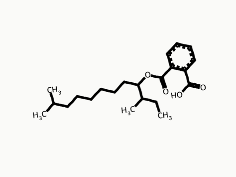 CCC(C)C(CCCCCCC(C)C)OC(=O)c1ccccc1C(=O)O